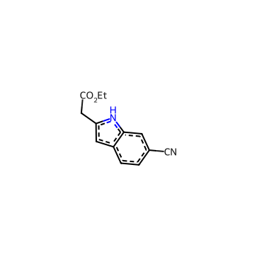 CCOC(=O)Cc1cc2ccc(C#N)cc2[nH]1